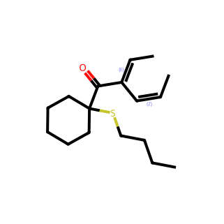 C/C=C\C(=C/C)C(=O)C1(SCCCC)CCCCC1